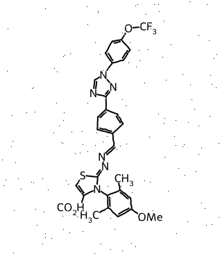 COc1cc(C)c(-n2c(C(=O)O)cs/c2=N\N=C\c2ccc(-c3ncn(-c4ccc(OC(F)(F)F)cc4)n3)cc2)c(C)c1